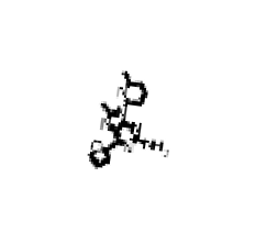 Cc1cccc(-n2c(C)nc3c(-c4ccco4)nc(N)nc32)n1